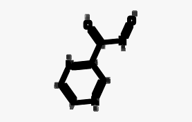 O=NC(=O)c1cnccn1